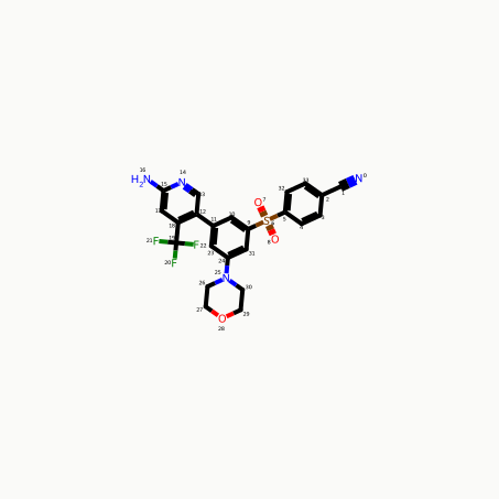 N#Cc1ccc(S(=O)(=O)c2cc(-c3cnc(N)cc3C(F)(F)F)cc(N3CCOCC3)c2)cc1